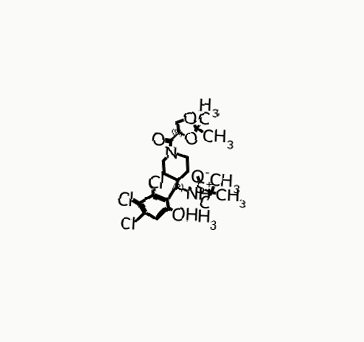 CC1(C)OC[C@H](C(=O)N2CCC([C@@H](N[S+]([O-])C(C)(C)C)c3c(O)cc(Cl)c(Cl)c3Cl)CC2)O1